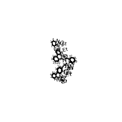 CCOC(=O)c1cccc2nc(OCC)n(Cc3ccc(-c4ccccc4-c4noc(-c5cccc6nc(OCC)n(Cc7ccc(-c8ccccc8-c8noc(=O)[nH]8)cc7)c56)n4)cc3)c12